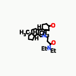 CCN(CC)C(=O)CCN1C[C@H]2[C@@H]3CCC[C@@]3(C)CC[C@@H]2[C@@]2(C)CCC(=O)C=C12